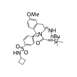 CCCCN[C@H]1Cc2cc(OC)ccc2[C@H](c2ccc(S(=O)(=O)NC3CCC3)cc2)N1C(=O)C#C[Si](C)(C)C